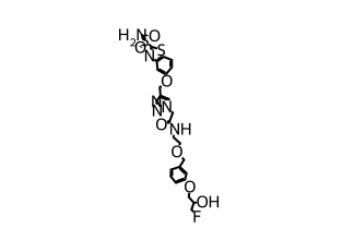 NS(=O)(=O)c1nc2cc(OCc3cn(CC(=O)NCCOCc4cccc(OCC(O)CF)c4)nn3)ccc2s1